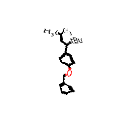 CC(C)=CC(c1ccc(OCc2ccccc2)cc1)C(C)(C)C